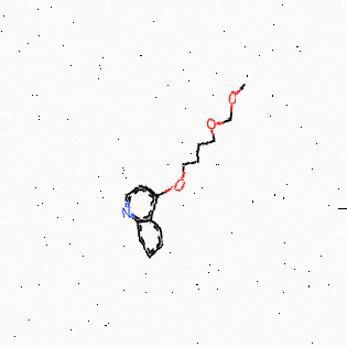 COCOCCCCOc1ccnc2ccccc12